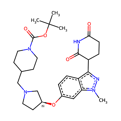 Cn1nc(C2CCC(=O)NC2=O)c2ccc(O[C@H]3CCN(CC4CCN(C(=O)OC(C)(C)C)CC4)C3)cc21